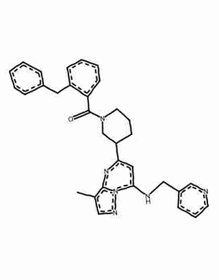 Cc1cnn2c(NCc3cccnc3)cc(C3CCCN(C(=O)c4ccccc4Cc4ccccc4)C3)nc12